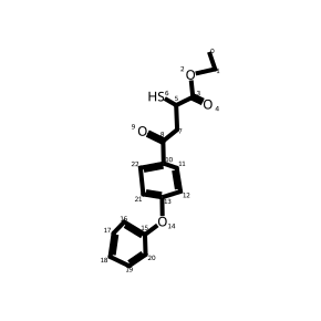 CCOC(=O)C(S)CC(=O)c1ccc(Oc2ccccc2)cc1